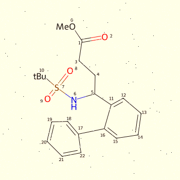 COC(=O)CCC(NS(=O)(=O)C(C)(C)C)c1ccccc1-c1ccccc1